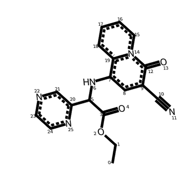 CCOC(=O)C(Nc1cc(C#N)c(=O)n2ccccc12)c1cnccn1